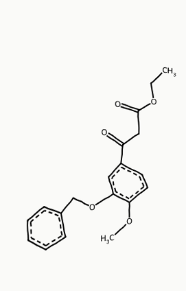 CCOC(=O)CC(=O)c1ccc(OC)c(OCc2ccccc2)c1